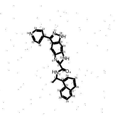 CC(NC(=O)c1nc2cc3c(-c4ccncc4)n[nH]c3cc2[nH]1)c1cccc2ccccc12